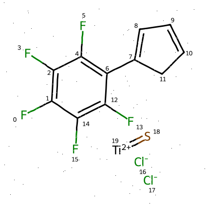 Fc1c(F)c(F)c(C2=CC=CC2)c(F)c1F.[Cl-].[Cl-].[S]=[Ti+2]